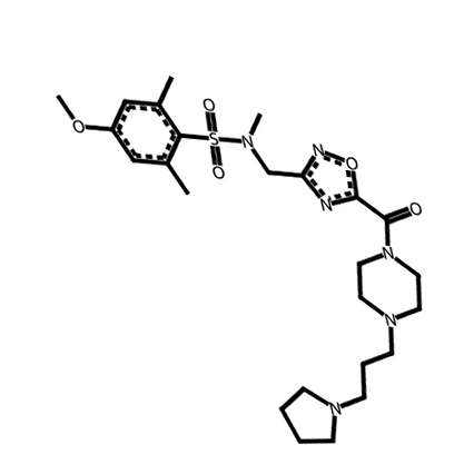 COc1cc(C)c(S(=O)(=O)N(C)Cc2noc(C(=O)N3CCN(CCCN4CCCC4)CC3)n2)c(C)c1